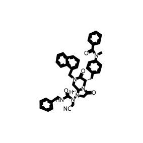 CN(C(=O)c1ccccc1)c1ccc(C[C@H]2C(=O)N(Cc3cccc4ccccc34)C[C@H]3N2C(=O)CN3N(CC#N)C(=O)NCc2ccccc2)cc1